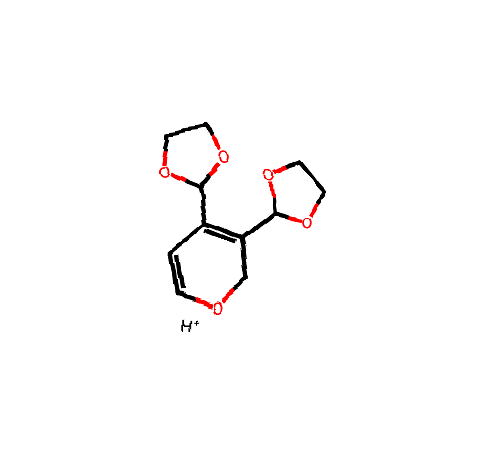 C1=CC(C2OCCO2)=C(C2OCCO2)CO1.[H+]